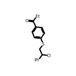 CCC(=O)c1ccc(SCC(Cl)C(C)C)cc1